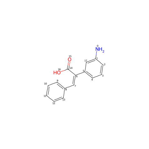 Nc1cccc(/C(=C/c2ccccc2)C(=O)O)c1